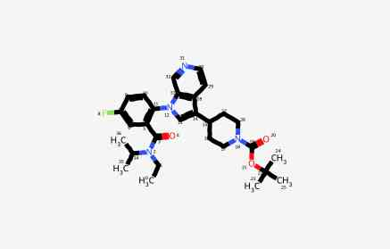 CCN(C(=O)c1cc(F)ccc1-n1cc(C2CCN(C(=O)OC(C)(C)C)CC2)c2ccncc21)C(C)C